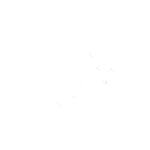 CN1CCN(c2ccc(Nc3ncc4ccc(=O)n(CCC5CN(C(=O)OC(C)(C)C)C5)c4n3)cn2)CC1